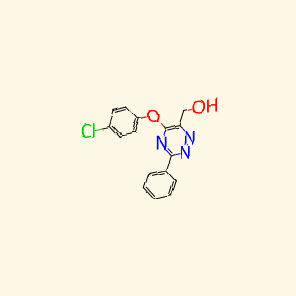 OCc1nnc(-c2ccccc2)nc1Oc1ccc(Cl)cc1